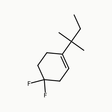 CCC(C)(C)C1=CCC(F)(F)CC1